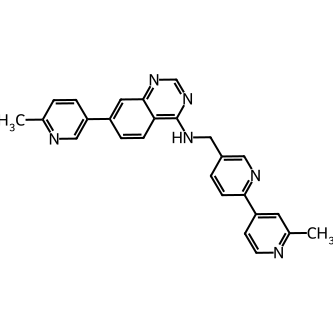 Cc1ccc(-c2ccc3c(NCc4ccc(-c5ccnc(C)c5)nc4)ncnc3c2)cn1